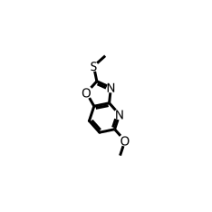 COc1ccc2oc(SC)nc2n1